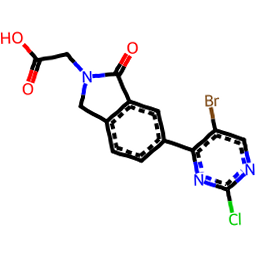 O=C(O)CN1Cc2ccc(-c3nc(Cl)ncc3Br)cc2C1=O